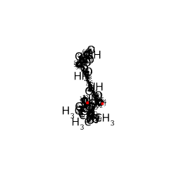 CCC(C)(C)C(=O)C(=O)N1CCCC[C@H]1C(=O)O[C@H](CCc1ccc(OC)c(OC)c1)c1ccccc1NC(=O)CCC(=O)NCCCCNC(=O)COc1cccc2c1C(=O)N(C1CCC(=O)NC1=O)C2=O